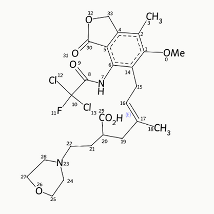 COc1c(C)c2c(c(NC(=O)C(F)(Cl)Cl)c1C/C=C(\C)CC(CCN1CCOCC1)C(=O)O)C(=O)OC2